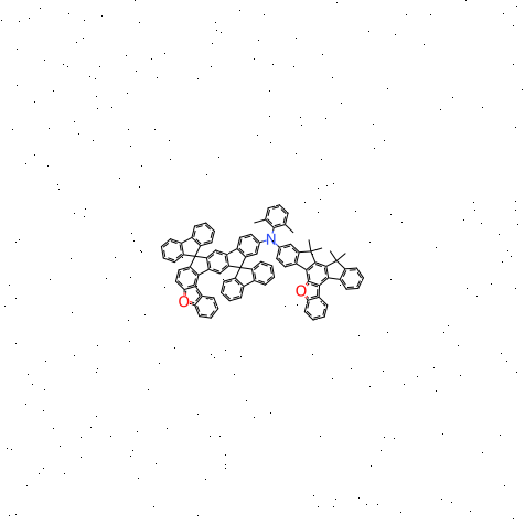 Cc1cccc(C)c1N(c1ccc2c(c1)C(C)(C)c1c3c(c4c(oc5ccccc54)c1-2)-c1ccccc1C3(C)C)c1ccc2c(c1)C1(c3ccccc3-c3ccccc31)c1cc3c(cc1-2)C1(c2ccccc2-c2ccccc21)c1ccc2oc4ccccc4c2c1-3